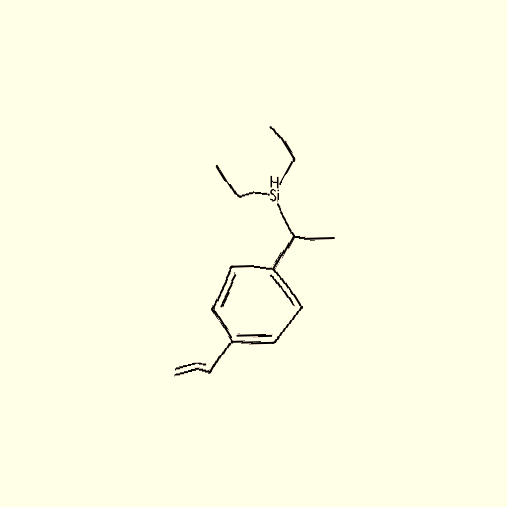 C=Cc1ccc(C(C)[SiH](CC)CC)cc1